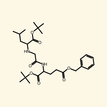 CC(C)CC(NCC(=O)NC(CCC(=O)OCc1ccccc1)C(=O)OC(C)(C)C)C(=O)OC(C)(C)C